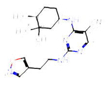 C[C@H]1CC[C@@H](Nc2nc(NCCc3cnoc3)ncc2C#N)CC1(C)C